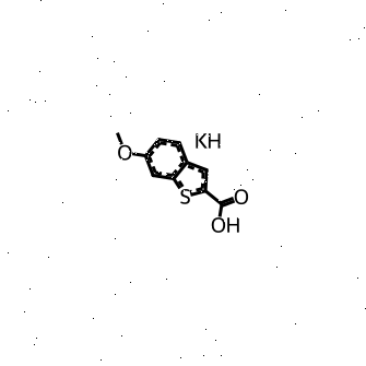 COc1ccc2cc(C(=O)O)sc2c1.[KH]